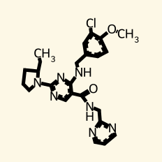 CCC1CCCN1c1ncc(C(=O)NCc2ncccn2)c(NCc2ccc(OC)c(Cl)c2)n1